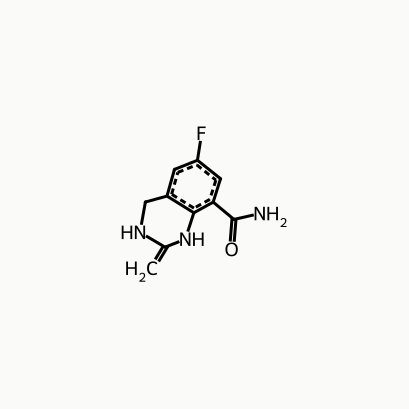 C=C1NCc2cc(F)cc(C(N)=O)c2N1